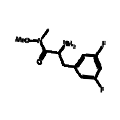 CON(C)C(=O)C(N)Cc1cc(F)cc(F)c1